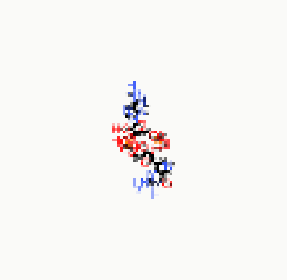 Nc1nc2c(C3OC4COP(=O)(O)OC5C(COP(=O)(O)OC3C4O)OC(n3cnc4c(N)ncnc43)C5O)cncc2c(=O)[nH]1